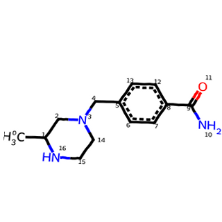 CC1CN(Cc2ccc(C(N)=O)cc2)CCN1